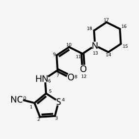 N#Cc1ccsc1NC(=O)/C=C\C(=O)N1CCCCC1